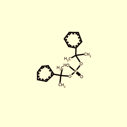 CC(C)(OP(=O)(O)OC(C)(C)c1ccccc1)c1ccccc1